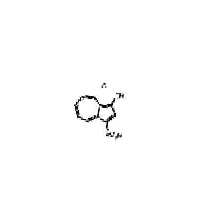 Cc1cc(S(=O)(=O)O)c2cccccc1-2.[Al]